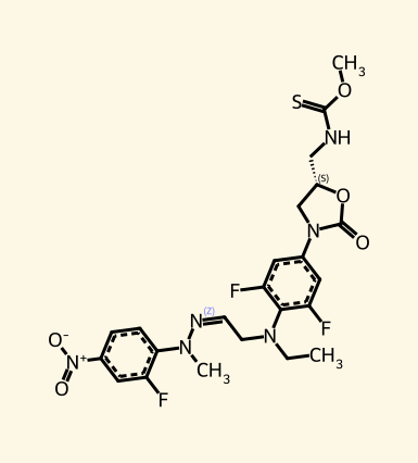 CCN(C/C=N\N(C)c1ccc([N+](=O)[O-])cc1F)c1c(F)cc(N2C[C@H](CNC(=S)OC)OC2=O)cc1F